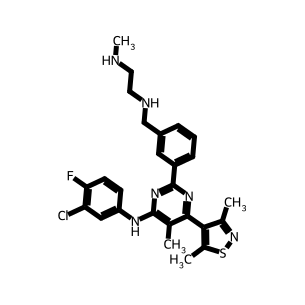 CNCCNCc1cccc(-c2nc(Nc3ccc(F)c(Cl)c3)c(C)c(-c3c(C)nsc3C)n2)c1